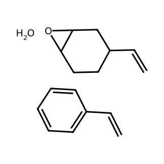 C=CC1CCC2OC2C1.C=Cc1ccccc1.O